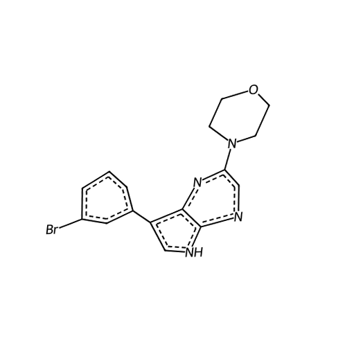 Brc1cccc(-c2c[nH]c3ncc(N4CCOCC4)nc23)c1